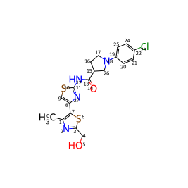 Cc1nc(CO)sc1-c1csc(NC(=O)C2CCN(c3ccc(Cl)cc3)C2)n1